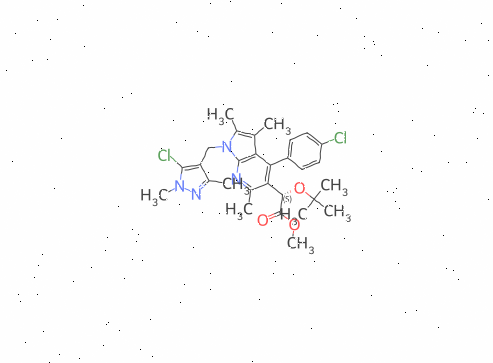 COC(=O)[C@@H](OC(C)(C)C)c1c(C)nc2c(c(C)c(C)n2Cc2c(C)nn(C)c2Cl)c1-c1ccc(Cl)cc1